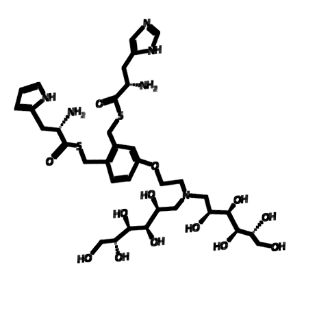 N[C@@H](Cc1ccc[nH]1)C(=O)SCc1ccc(OCCN(C[C@H](O)[C@@H](O)[C@H](O)[C@H](O)CO)C[C@H](O)[C@@H](O)[C@H](O)[C@H](O)CO)cc1CSC(=O)[C@@H](N)Cc1cnc[nH]1